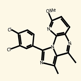 COc1ccc2nc(C)c3c(C)nc(-c4ccc(Cl)c(Cl)c4)n3c2n1